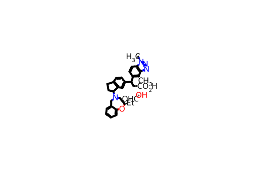 CC[C@@H]1CN(C2CCc3ccc(C(CC(=O)O)c4ccc5c(nnn5C)c4C)cc32)Cc2ccccc2O1.O=CO